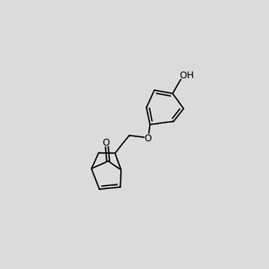 O=C1C2C=CC1C(COc1ccc(O)cc1)C2